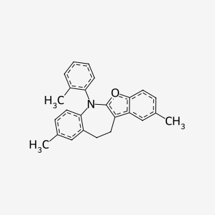 Cc1ccc2c(c1)CCc1c(oc3ccc(C)cc13)N2c1ccccc1C